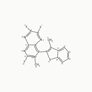 Cc1c(-c2c3nc(F)c(F)nc3nc(F)[n+]2C)sc2ccccc12